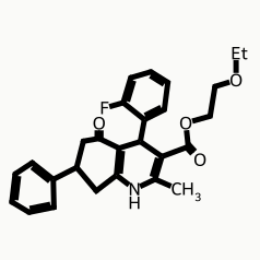 CCOCCOC(=O)C1=C(C)NC2=C(C(=O)CC(c3ccccc3)C2)C1c1ccccc1F